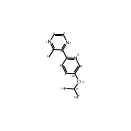 Cc1nccnc1-c1ccc(OC(F)F)cn1